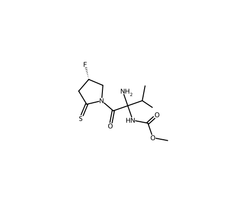 COC(=O)NC(N)(C(=O)N1C[C@@H](F)CC1=S)C(C)C